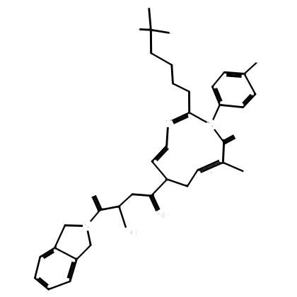 C/C1=C\CC(C(=N)CC(O)C(=O)N2Cc3ccccc3C2)/C=C/N=C(/CCCCC(C)(O)O)N(c2ccc(F)cc2)C1=O